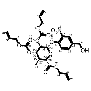 C=CCOC(=O)O[C@H]1[C@H](Oc2ccc(CO)cc2[N+](=O)[O-])O[C@H](C(=O)OCC=C)[C@@H](C)[C@@H]1OC(=O)OCC=C